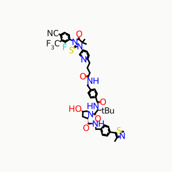 Cc1ncsc1-c1ccc(CNC(=O)[C@@H]2C[C@@H](O)CN2C(=O)[C@@H](NC(=O)c2ccc(CNC(=O)CCCc3ccc(N4C(=S)N(c5ccc(C#N)c(C(F)(F)F)c5F)C(=O)C4(C)C)cn3)cc2)C(C)(C)C)cc1